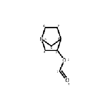 O=COC1CN2CCC1C2